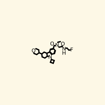 CCN(CC(=O)NCCF)C(=O)c1ccc2c(c1)C1CC(C3CCOCC3)CCC1N2C1CCC1